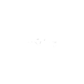 C=Cc1ccc(C(=O)OC2(C)CCOC(=O)C2)cc1